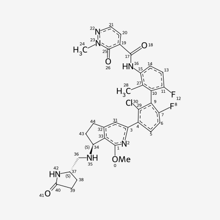 COc1nc(-c2ccc(F)c(-c3c(F)ccc(NC(=O)c4ccnn(C)c4=O)c3C)c2Cl)cc2c1[C@@H](NC[C@@H]1CCC(=O)N1)CC2